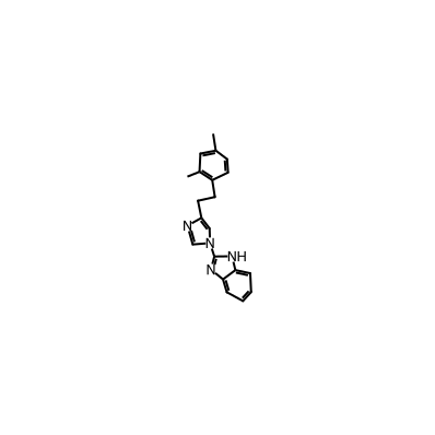 Cc1ccc(CCc2cn(-c3nc4ccccc4[nH]3)cn2)c(C)c1